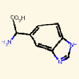 NC(C(=O)O)c1ccc2[nH]cnc2c1